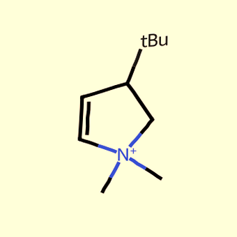 CC(C)(C)C1C=C[N+](C)(C)C1